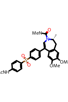 CNC(=O)N1C=C(c2ccc(S(=O)(=O)c3ccc(NC(C)=O)cc3)cc2)c2cc(OC)c(OC)cc2C[C@H]1C